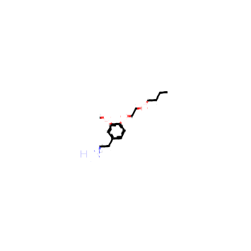 CCCCOCCOc1ccc(CCN)cc1OC